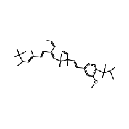 C=CC(C)(/C=C/c1ccc(C(C)(C)C(C)C)c(OC)c1)C(C)(C)/C=C(\C=C/C)/C=C/C(C)=C/C(C)C(C)(C)C